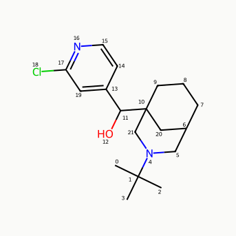 CC(C)(C)N1CC2CCCC(C(O)c3ccnc(Cl)c3)(C2)C1